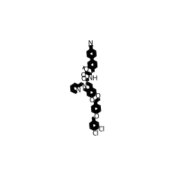 COC(=O)[C@H](Cc1ccc(-c2ccc(C#N)cc2)cc1)NC(=O)[C@@H]1Cc2cc3c(cc2CN1Cc1ccccn1)OC(c1ccc(OCc2ccc(Cl)c(Cl)c2)cc1)CO3